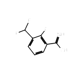 CC(=N)c1cccc(C(F)F)c1F